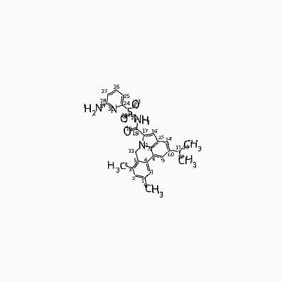 Cc1cc(C)c2c(c1)-c1cc(C(C)C)cc3cc(C(=O)NS(=O)(=O)c4cccc(N)n4)n(c13)C2